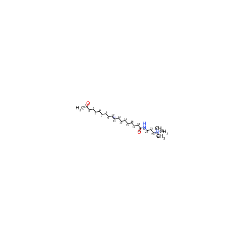 CC(=O)CCCCCCC/C=C/CCCCCCCC(=O)NCCC[N+](C)(C)C